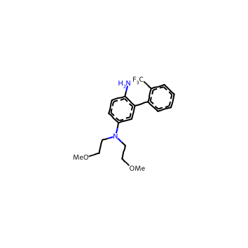 COCCN(CCOC)c1ccc(N)c(-c2ccccc2C(F)(F)F)c1